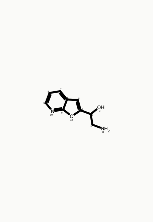 NCC(O)c1cc2cccnc2o1